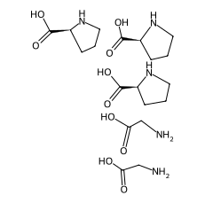 NCC(=O)O.NCC(=O)O.O=C(O)[C@@H]1CCCN1.O=C(O)[C@@H]1CCCN1.O=C(O)[C@@H]1CCCN1